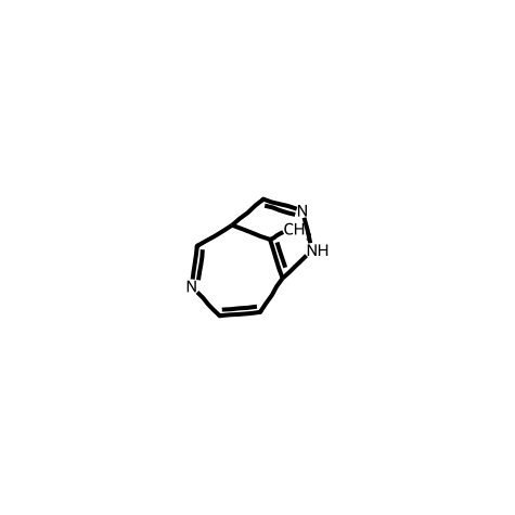 CC1=C2C=CN=CC1C=NN2